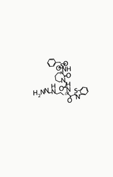 NN=CNCCC[C@H](NC(=O)CN1CCCC[C@H](NS(=O)(=O)Cc2ccccc2)C1=O)C(=O)c1nc2ccccc2s1